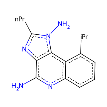 CCCc1nc2c(N)nc3cccc(C(C)C)c3c2n1N